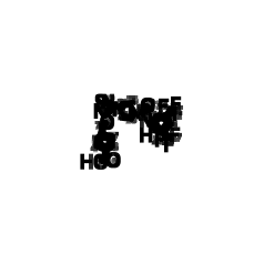 O=C(O)c1ccc(COc2nsnc2N2CCN(C(=O)Nc3cc(C(F)(F)F)cc(C(F)(F)F)c3)CC2)cc1